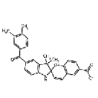 Cc1ccc(C(=O)c2ccc3c(c2)C(C)(C)C2(C=Cc4cc([N+](=O)[O-])ccc4O2)N3)cc1C